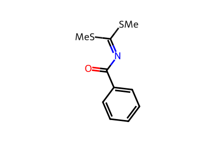 CSC(=NC(=O)c1ccccc1)SC